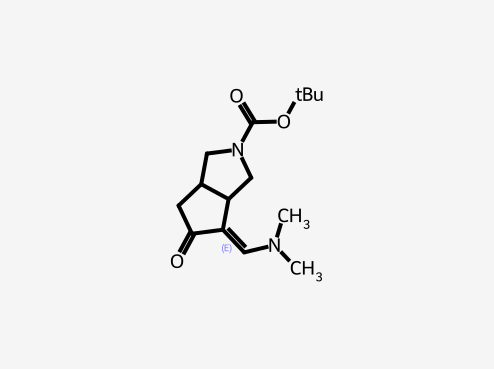 CN(C)/C=C1/C(=O)CC2CN(C(=O)OC(C)(C)C)CC12